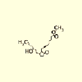 CCCCC(O)C=CC1CCC(=O)C1CC#CCCCCC(=O)OCC